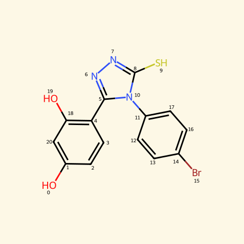 Oc1ccc(-c2nnc(S)n2-c2ccc(Br)cc2)c(O)c1